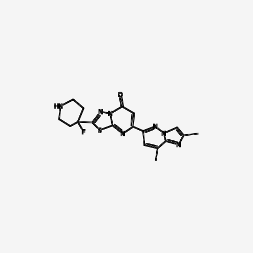 Cc1cn2nc(-c3cc(=O)n4nc(C5(F)CCNCC5)sc4n3)cc(C)c2n1